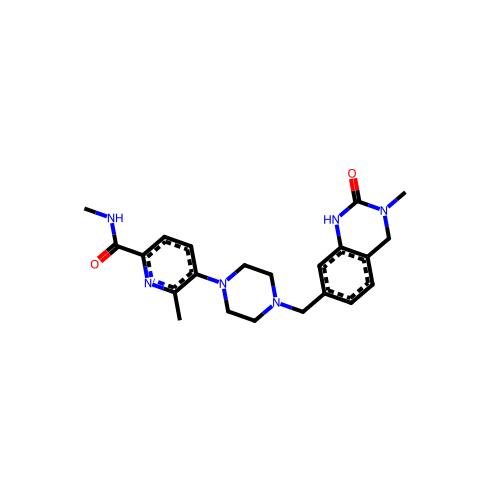 CNC(=O)c1ccc(N2CCN(Cc3ccc4c(c3)NC(=O)N(C)C4)CC2)c(C)n1